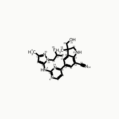 Cc1cc(Nc2nccc(-c3cc(C#N)c4c(c3)C(C)(CO)CN4)n2)n(CC(F)F)n1